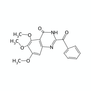 COc1cc2nc(C(=O)c3ccccc3)[nH]c(=O)c2c(OC)c1OC